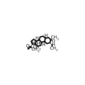 CC[C@H]1C[C@H]2[C@H](CC[C@@H]3[C@@H]2CC[C@]2(C)[C@@H](C4(C)CO4)CC[C@@H]32)C[C@]1(C)O